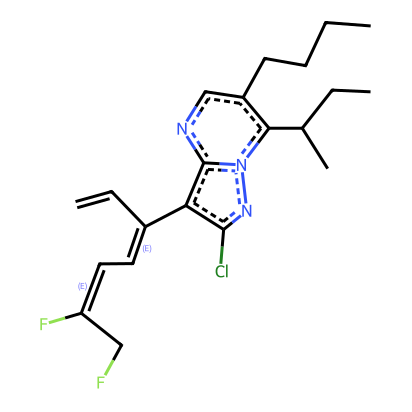 C=C/C(=C\C=C(\F)CF)c1c(Cl)nn2c(C(C)CC)c(CCCC)cnc12